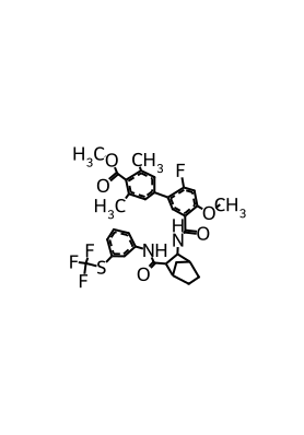 COC(=O)c1c(C)cc(-c2cc(C(=O)NC3C4CCC(C4)C3C(=O)Nc3cccc(SC(F)(F)F)c3)c(OC)cc2F)cc1C